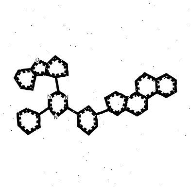 c1ccc(-c2nc(-c3cccc(-c4ccc5c(ccc6c7ccccc7ccc56)c4)c3)nc(-c3cccc4oc5ccccc5c34)n2)cc1